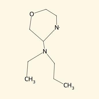 CCCN(CC)C1COCC[N]1